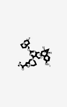 CN(C)C(=O)c1cc2n(n1)CCCN(c1nc(OC[C@@]34CCCN3C[C@H](F)C4)nc3c1CO[C@@]1(C3)C[C@@H]3C[C@@H]3c3ccc(N)cc31)C2